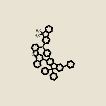 CC1(C)c2ccccc2-c2ccc(N(c3ccccc3)c3cccc4oc5c6ccccc6c(-c6ccc7c(c6)C(c6ccccc6)(c6ccccc6)c6ccc(-c8ccccc8)cc6-7)cc5c34)cc21